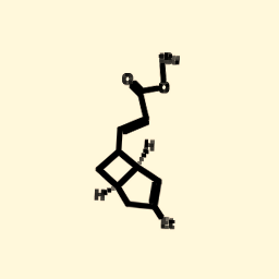 CCC1=C[C@@H]2C(C=CC(=O)OC(C)(C)C)C[C@@H]2C1